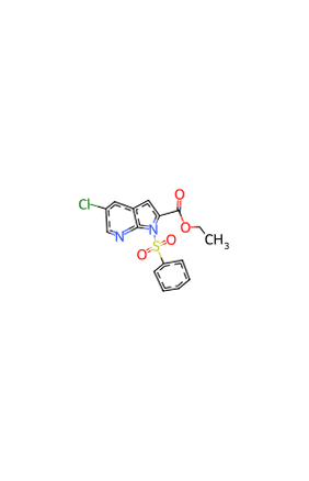 CCOC(=O)c1cc2cc(Cl)cnc2n1S(=O)(=O)c1ccccc1